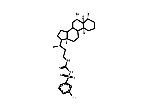 CC[C@H]1CC2C3CCC([C@H](C)CCNC(=O)NS(=O)(=O)c4cccc(C(F)(F)F)c4)[C@@]3(C)CCC2[C@@]2(C)CCC[C@H](F)[C@@H]12